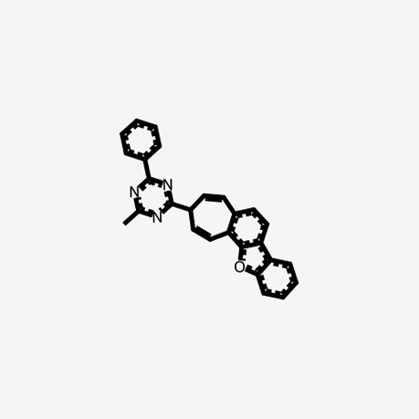 Cc1nc(-c2ccccc2)nc(C2C=Cc3ccc4c(oc5ccccc54)c3C=C2)n1